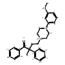 COc1cccc(N2CCN(CCC(C)(C(=O)c3ccccc3)c3ccccc3)CC2)c1